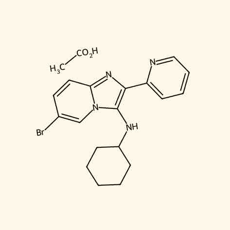 Brc1ccc2nc(-c3ccccn3)c(NC3CCCCC3)n2c1.CC(=O)O